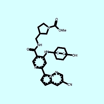 COC(=O)N1CCC(CNC(=O)c2cnc(-c3ccc4cc(C#N)cnn34)cc2NC23CCC(O)(CC2)CC3)C1